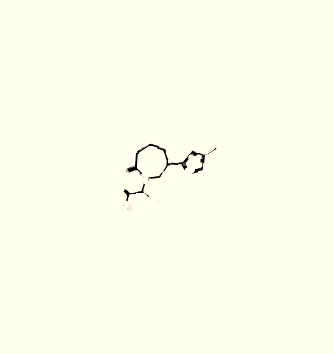 CCC(C(N)=O)N1CC(c2cc(C)cs2)CCCC1=O